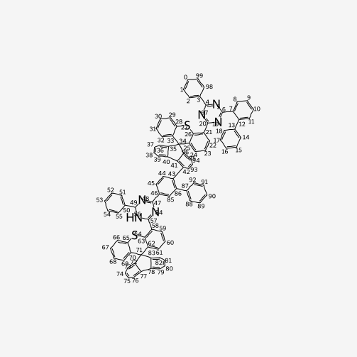 c1ccc(-c2nc(-c3ccccc3-c3ccccc3)nc(-c3cccc4c3Sc3ccccc3C43c4ccccc4-c4c(-c5ccc(C6=NC(c7ccccc7)NC(c7cccc8c7Sc7ccccc7C87c8ccccc8-c8ccccc87)=N6)cc5-c5ccccc5)cccc43)n2)cc1